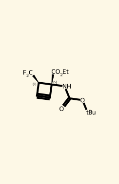 CCOC(=O)[C@@]1(NC(=O)OC(C)(C)C)C#C[C@H]1C(F)(F)F